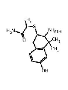 CC(SC1Cc2ccc(O)cc2C(C)(C)C1N)C(N)=O.Cl